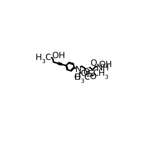 CC(O)CC#Cc1ccc(N2C[C@H](C[C@](C)(C(=O)NO)S(C)(=O)=O)OC2=O)cc1